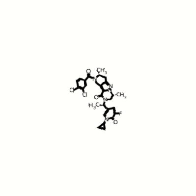 C[C@@H]1Cc2nn3c(c2CN1C(=O)c1ccc(Cl)c(Cl)c1)C(=O)N([C@H](C)c1cc(F)c(=O)n(C2CC2)c1)C[C@H]3C